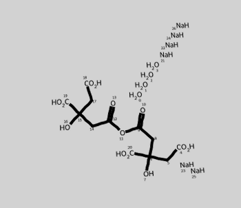 O.O.O.O.O=C(O)CC(O)(CC(=O)OC(=O)CC(O)(CC(=O)O)C(=O)O)C(=O)O.[NaH].[NaH].[NaH].[NaH].[NaH].[NaH]